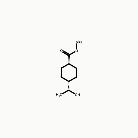 CCCCOC(=O)[C@H]1CC[C@H](C(C)O)CC1